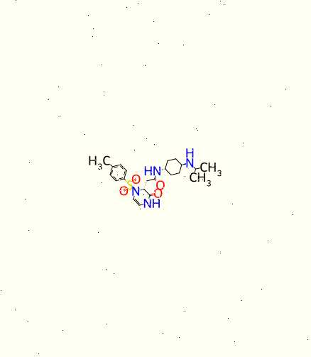 Cc1ccc(S(=O)(=O)N2C=CNC(=O)[C@H]2CC(=O)N[C@H]2CC[C@H](NC(C)C)CC2)cc1